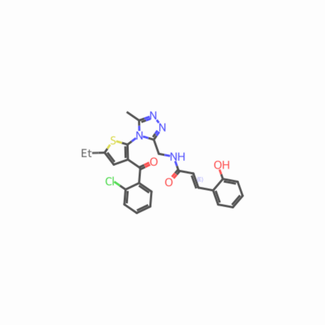 CCc1cc(C(=O)c2ccccc2Cl)c(-n2c(C)nnc2CNC(=O)/C=C/c2ccccc2O)s1